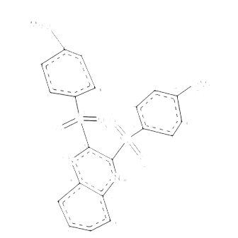 COc1ccc(S(=O)(=O)c2nc3ccccc3nc2S(=O)(=O)c2ccc(OC)cc2)cc1